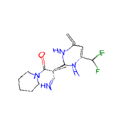 C=C1C=C(C(F)F)N/C(=C(\C=N)C(=O)N2CCCCC2)N1